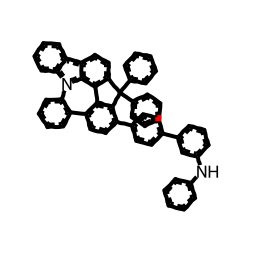 c1ccc(Nc2cccc(-c3ccc(-c4ccc5c6c4C(c4ccccc4)(c4ccccc4)c4ccc7c8ccccc8n(c7c4-6)-c4ccccc4-5)cc3)c2)cc1